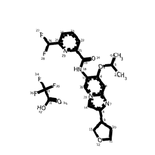 CC(C)Oc1cc2nc(C3CCOC3)cn2cc1NC(=O)c1cccc(C(F)F)n1.O=C(O)C(F)(F)F